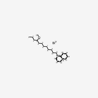 CCCC(CCCCCCCC[n+]1cccc2ccccc21)OC.[Br-]